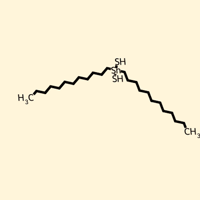 CCCCCCCCCCC[CH2][Sn]([SH])([SH])[CH2]CCCCCCCCCCC